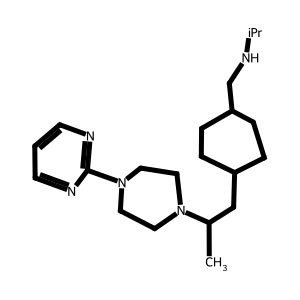 CC(C)NCC1CCC(CC(C)N2CCN(c3ncccn3)CC2)CC1